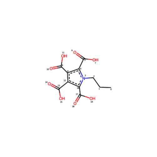 CCCn1c(C(=O)O)c(C(=O)O)c(C(=O)O)c1C(=O)O